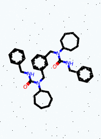 O=C(NCc1ccccc1)N(Cc1cccc(CN(C(=O)NCc2ccccc2)C2CCCCCC2)c1)C1CCCCCC1